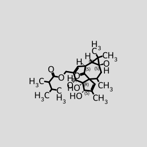 CC1=CC23C(=O)[C@@H](C=C(COC(=O)C(C)C(C)C)[C@@H](O)[C@]2(O)[C@H]1O)[C@@H]1C(C)(C)[C@]1(O)CC3C